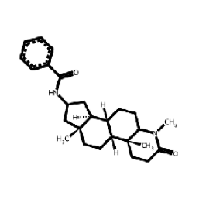 CN1C(=O)CC[C@@]2(C)C1CC[C@@H]1[C@H]2CC[C@]2(C)CC(NC(=O)c3ccccc3)C[C@@H]12